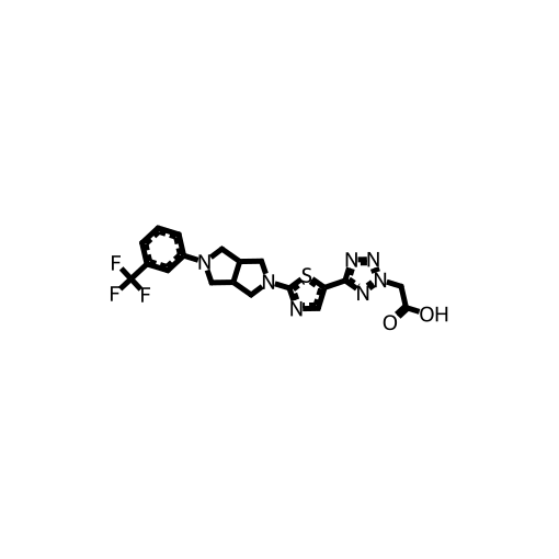 O=C(O)Cn1nnc(-c2cnc(N3CC4CN(c5cccc(C(F)(F)F)c5)CC4C3)s2)n1